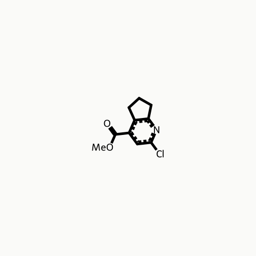 COC(=O)c1cc(Cl)nc2c1CCC2